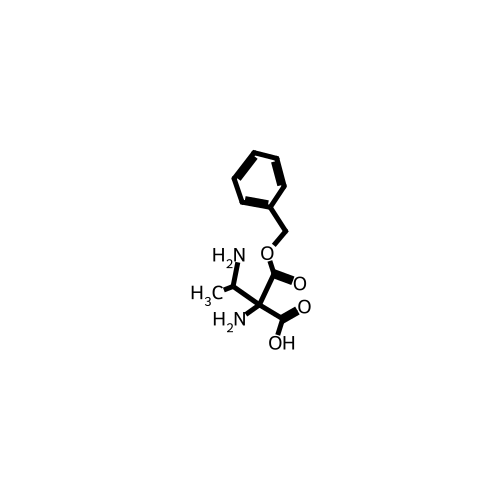 CC(N)C(N)(C(=O)O)C(=O)OCc1ccccc1